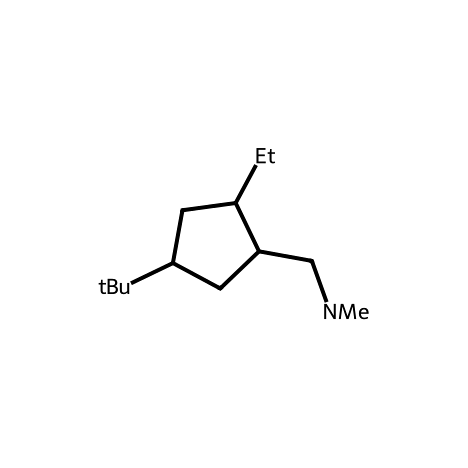 CCC1CC(C(C)(C)C)CC1CNC